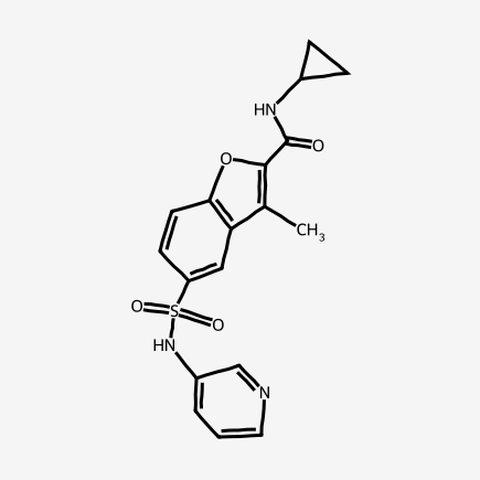 Cc1c(C(=O)NC2CC2)oc2ccc(S(=O)(=O)Nc3cccnc3)cc12